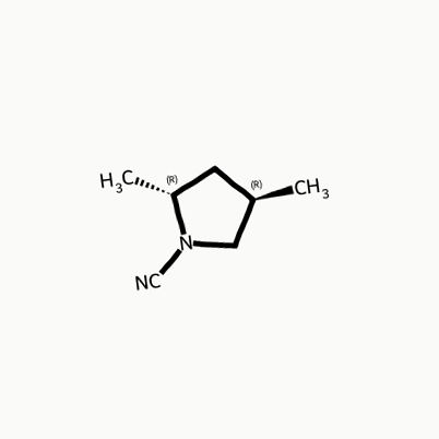 C[C@@H]1C[C@@H](C)N(C#N)C1